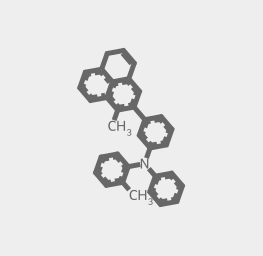 Cc1ccccc1N(c1ccccc1)c1cccc(-c2cc3c4c(cccc4c2C)CC=C3)c1